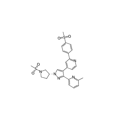 Cc1cccc(-c2nn([C@@H]3CCN(S(C)(=O)=O)C3)cc2-c2ccnc(-c3ccc(S(C)(=O)=O)cc3)c2)n1